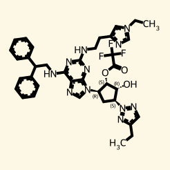 CCc1cnn([C@H]2C[C@@H](n3cnc4c(NCC(c5ccccc5)c5ccccc5)nc(NCCc5cn(CC)cn5)nc43)[C@H](OC(=O)C(F)(F)F)[C@@H]2O)n1